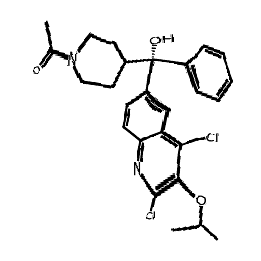 CC(=O)N1CCC([C@@](O)(c2ccccc2)c2ccc3nc(Cl)c(OC(C)C)c(Cl)c3c2)CC1